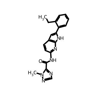 CCc1ccccc1-c1cc2ccc(NC(=O)c3ncnn3C)nc2[nH]1